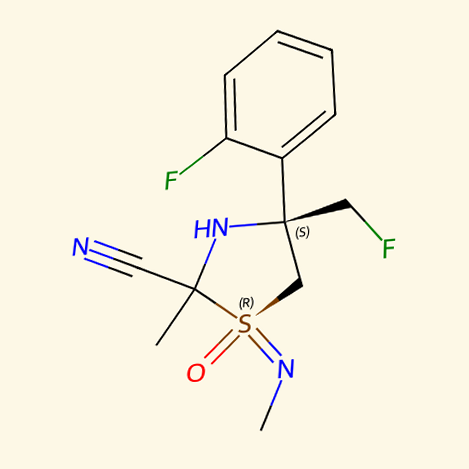 CN=[S@@]1(=O)C[C@@](CF)(c2ccccc2F)NC1(C)C#N